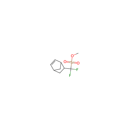 COS(=O)(=O)C(F)(F)C1CC2C=CC1C2